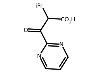 CC(C)C(C(=O)O)C(=O)c1ncccn1